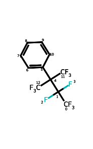 FC(F)(F)C(F)(F)C(c1c[c]ccc1)(C(F)(F)F)C(F)(F)F